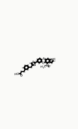 C[S+]([O-])c1c(Oc2cccc(-c3nc(Cc4cccc(CCC(=O)O)c4)cs3)c2)c(F)cc2[nH]ccc12